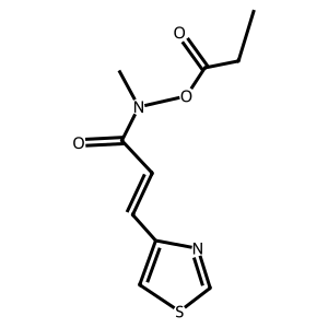 CCC(=O)ON(C)C(=O)C=Cc1cscn1